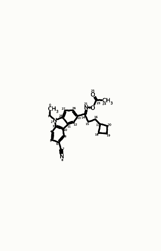 CCn1c2ccc(C#N)cc2c2cc(/C(CCC3CCC3)=N/OC(C)=O)ccc21